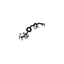 N#CCc1cc(Cc2ccc(-c3noc(C(F)(F)F)n3)cc2)on1